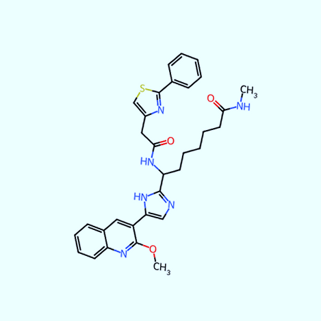 CNC(=O)CCCCCC(NC(=O)Cc1csc(-c2ccccc2)n1)c1ncc(-c2cc3ccccc3nc2OC)[nH]1